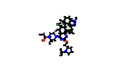 C=CC(=O)N1C[C@H](C)N(c2nc(OC[C@@H]3CCCN3C(C)C)nc3c(F)c(-c4c(C)ccc5c4c(C4CC4)nn5C)c(Cl)cc23)C[C@H]1C